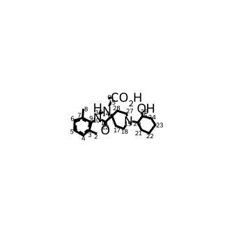 CC(=O)O.Cc1cccc(C)c1NC(=O)C1(N(C)C)CCN(C2CCCCC2O)CC1